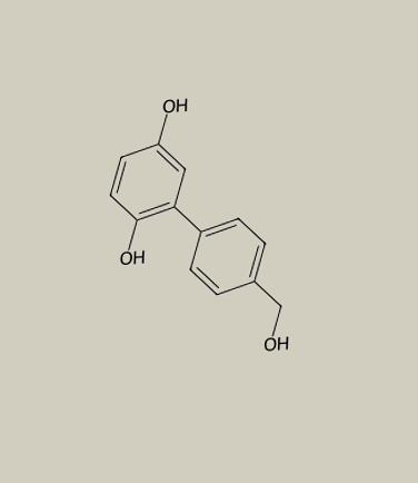 OCc1ccc(-c2cc(O)ccc2O)cc1